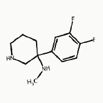 CNC1(c2ccc(F)c(F)c2)CCCNC1